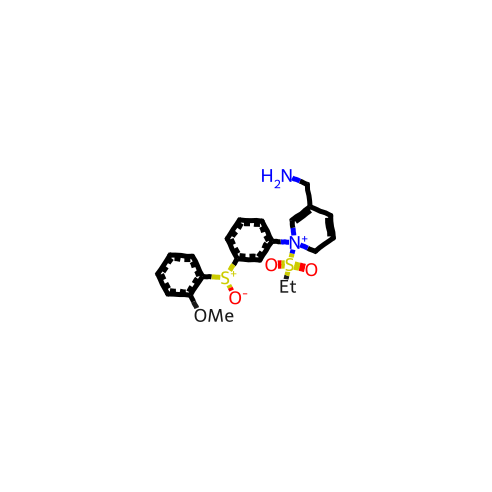 CCS(=O)(=O)[N+]1(c2cccc([S+]([O-])c3ccccc3OC)c2)C=C(CN)C=CC1